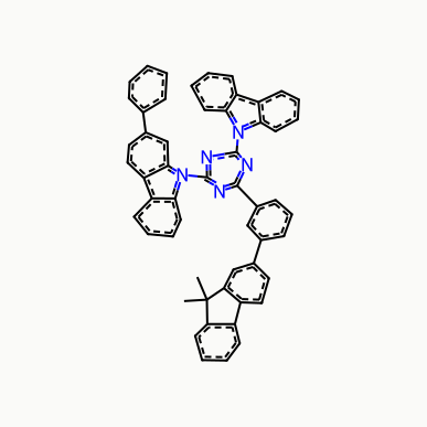 CC1(C)c2ccccc2-c2ccc(-c3cccc(-c4nc(-n5c6ccccc6c6ccccc65)nc(-n5c6ccccc6c6ccc(-c7ccccc7)cc65)n4)c3)cc21